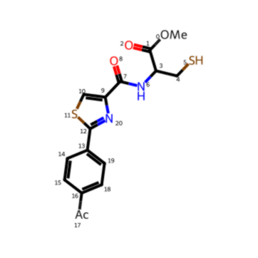 COC(=O)C(CS)NC(=O)c1csc(-c2ccc(C(C)=O)cc2)n1